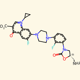 CC(=O)NC[C@H]1CN(c2cccc(N3CCN(c4cc5c(cc4F)c(=O)c(C(=O)O)cn5C4CC4)CC3)c2F)C(=O)O1